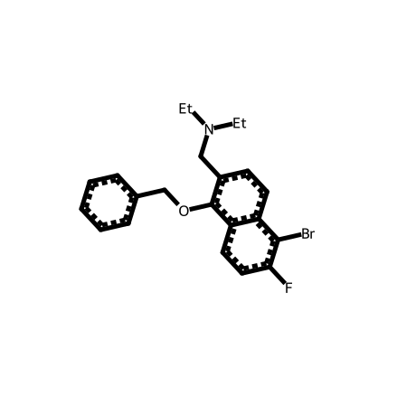 CCN(CC)Cc1ccc2c(Br)c(F)ccc2c1OCc1ccccc1